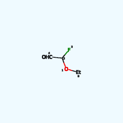 CCOC(F)C=O